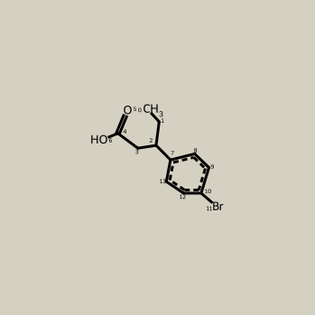 CCC(CC(=O)O)c1ccc(Br)cc1